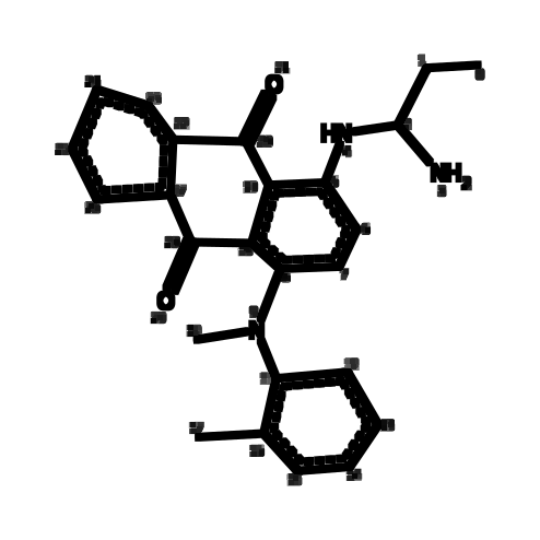 CCC(N)Nc1ccc(N(C)c2ccccc2C)c2c1C(=O)c1ccccc1C2=O